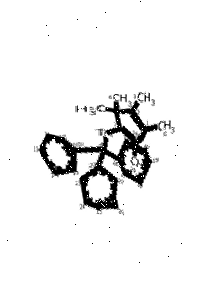 CC1=C(C)C(C)(C)[C]([Ti][C](c2ccccc2)(c2ccccc2)c2ccccc2)=C1C